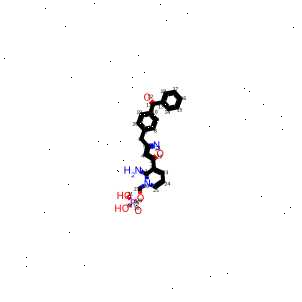 NC1C(c2cc(Cc3ccc(C(=O)c4ccccc4)cc3)no2)=CC=CN1COP(=O)(O)O